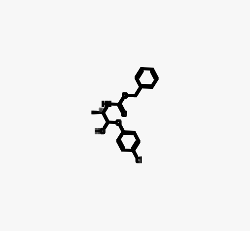 C[C@@H](NC(=O)OCc1ccccc1)C(O)Oc1ccc(Cl)cc1